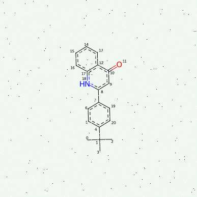 CC(C)(C)c1ccc(-c2cc(=O)c3ccccc3[nH]2)cc1